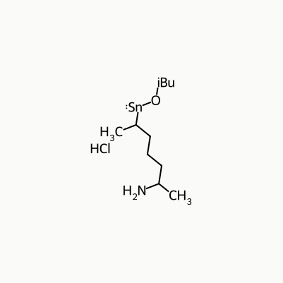 CCC(C)[O][Sn][CH](C)CCCC(C)N.Cl